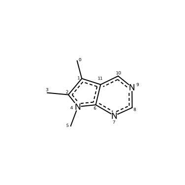 Cc1c(C)n(C)c2ncncc12